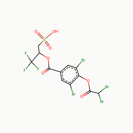 O=C(OC(CS(=O)(=O)O)C(F)(F)F)c1cc(Br)c(OC(=O)C(Br)Br)c(Br)c1